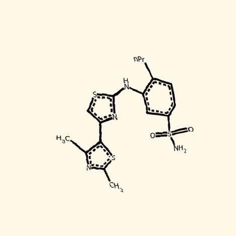 CCCc1ccc(S(N)(=O)=O)cc1Nc1nc(-c2sc(C)nc2C)cs1